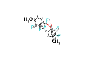 Cc1ccc(C(F)(F)OC23CCC(C)(CC2)C(F)=C3F)c(F)c1F